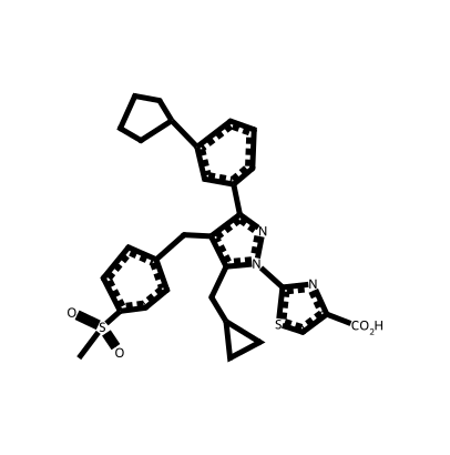 CS(=O)(=O)c1ccc(Cc2c(-c3cccc(C4CCCC4)c3)nn(-c3nc(C(=O)O)cs3)c2CC2CC2)cc1